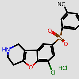 Cl.N#Cc1cccc(S(=O)(=O)c2cc(Cl)c3oc4c(c3c2)CNCC4)c1